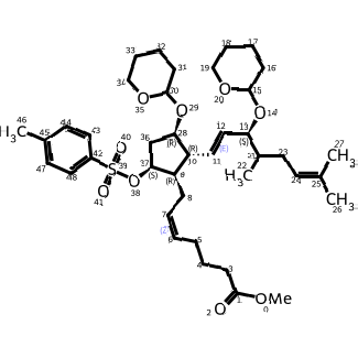 COC(=O)CCC/C=C\C[C@@H]1[C@@H](/C=C/[C@@H](OC2CCCCO2)C(C)CC=C(C)C)[C@H](OC2CCCCO2)C[C@@H]1OS(=O)(=O)c1ccc(C)cc1